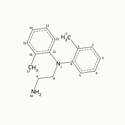 Cc1ccccc1N(CCN)c1ccccc1C